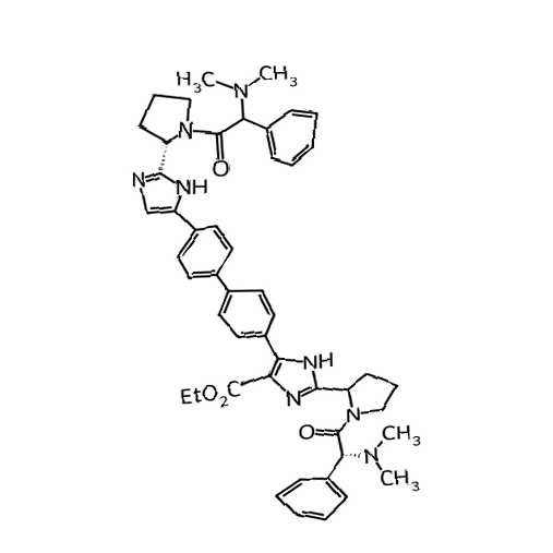 CCOC(=O)c1nc(C2CCCN2C(=O)[C@@H](c2ccccc2)N(C)C)[nH]c1-c1ccc(-c2ccc(-c3cnc([C@@H]4CCCN4C(=O)C(c4ccccc4)N(C)C)[nH]3)cc2)cc1